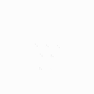 c1ccc(-c2ccc3c(c2)c2ccccc2n3-c2nc(-c3nc4ccccc4s3)nc(-n3c4ccccc4c4ccccc43)n2)cc1